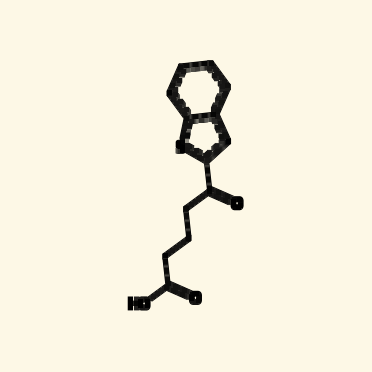 O=C(O)CCCC(=O)c1cc2ccccc2s1